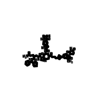 Cn1c(=O)n(C2CCC(=O)NC2=O)c2ccc(N3CC(CCCC(=O)N4CC[C@H]5CC[C@@H](C(=O)NCC(CCC(N)=O)C(=O)NC(c6ccccc6)c6ccccc6)N5C(=O)[C@@H](NC(=O)c5cc6cc(C(=O)P(=O)(O)O)ccc6[nH]5)C4)C3)cc21